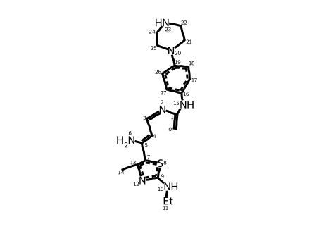 C=C(/N=C\C=C(/N)c1sc(NCC)nc1C)Nc1ccc(N2CCNCC2)cc1